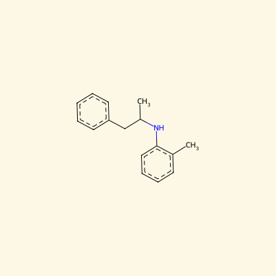 Cc1ccccc1NC(C)Cc1ccccc1